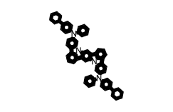 c1ccc(N(c2ccc(C3CCCCC3)cc2)c2ccc3c4cccc5c6cc7c(cc6n(c3c2)c45)c2cccc3c4ccc(N(c5ccccc5)c5ccc(C6CCCCC6)cc5)cc4n7c32)cc1